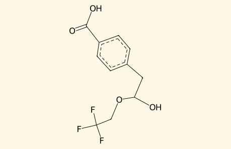 O=C(O)c1ccc(CC(O)OCC(F)(F)F)cc1